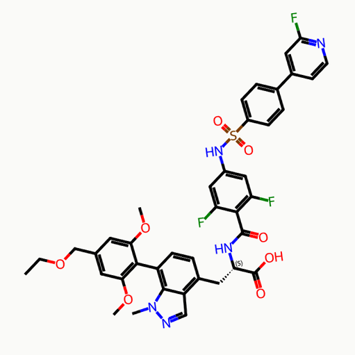 CCOCc1cc(OC)c(-c2ccc(C[C@H](NC(=O)c3c(F)cc(NS(=O)(=O)c4ccc(-c5ccnc(F)c5)cc4)cc3F)C(=O)O)c3cnn(C)c23)c(OC)c1